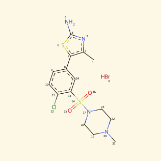 Br.Cc1nc(N)sc1-c1ccc(Cl)c(S(=O)(=O)N2CCN(C)CC2)c1